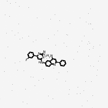 Nc1nc(Nc2ccc3nc(-c4ccccc4)cc(N)c3c2)cc(-c2cccc(F)c2)n1